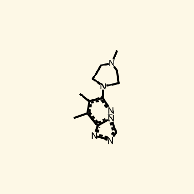 Cc1c(N2CCN(C)CC2)nn2cnnc2c1C